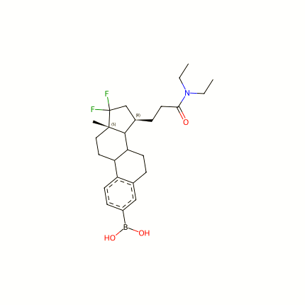 CCN(CC)C(=O)CC[C@@H]1CC(F)(F)[C@@]2(C)CCC3c4ccc(B(O)O)cc4CCC3C12